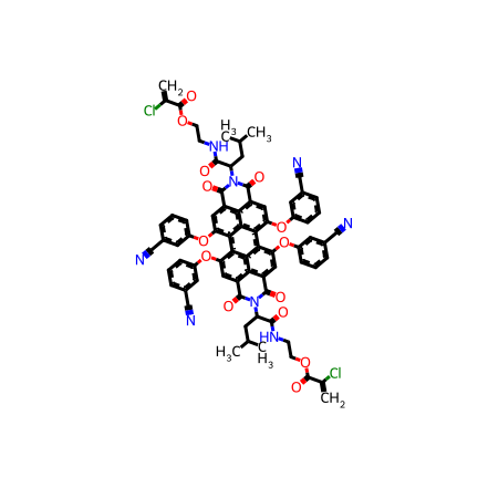 C=C(Cl)C(=O)OCCNC(=O)C(CC(C)C)N1C(=O)c2cc(Oc3cccc(C#N)c3)c3c4c(Oc5cccc(C#N)c5)cc5c6c(cc(Oc7cccc(C#N)c7)c(c7c(Oc8cccc(C#N)c8)cc(c2c37)C1=O)c64)C(=O)N(C(CC(C)C)C(=O)NCCOC(=O)C(=C)Cl)C5=O